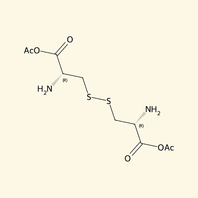 CC(=O)OC(=O)[C@@H](N)CSSC[C@H](N)C(=O)OC(C)=O